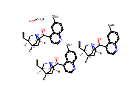 C=C[C@H]1C[N@]2CC[C@H]1C[C@@H]2[C@@H](O)c1ccnc2ccc(OC)cc12.C=C[C@H]1C[N@]2CC[C@H]1C[C@@H]2[C@@H](O)c1ccnc2ccc(OC)cc12.C=C[C@H]1C[N@]2CC[C@H]1C[C@@H]2[C@@H](O)c1ccnc2ccc(OC)cc12.O=S(=O)(O)O